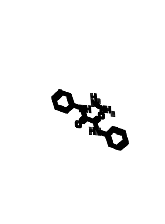 NN.O=C(Nc1ccccc1)C(=O)Nc1ccccc1